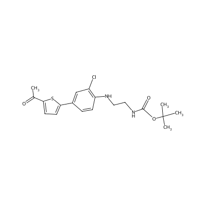 CC(=O)c1ccc(-c2ccc(NCCNC(=O)OC(C)(C)C)c(Cl)c2)s1